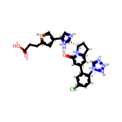 O=C(O)CCc1cc(-c2cnc([C@@H]3CCc4cc(-c5cc(Cl)ccc5-n5cnnn5)cc(=O)n43)[nH]2)cs1